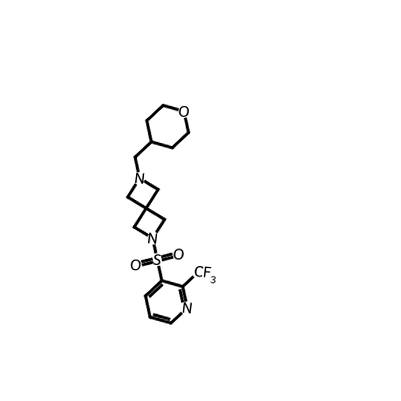 O=S(=O)(c1cccnc1C(F)(F)F)N1CC2(CN(CC3CCOCC3)C2)C1